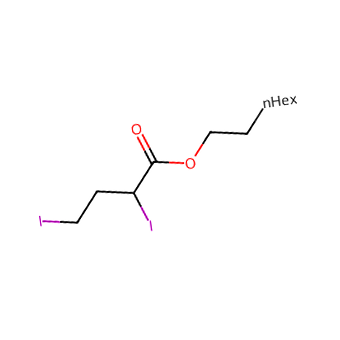 CCCCCCCCOC(=O)C(I)CCI